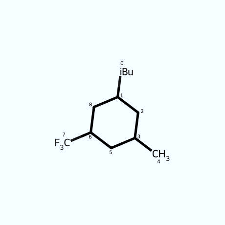 CCC(C)C1CC(C)CC(C(F)(F)F)C1